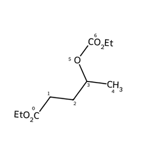 CCOC(=O)CCC(C)OC(=O)OCC